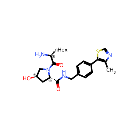 CCCCCC[C@H](N)C(=O)N1C[C@H](O)C[C@H]1C(=O)NCc1ccc(-c2scnc2C)cc1